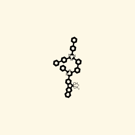 CC1(C)c2cc(-c3cc(-c4cccc(-c5cccc(-c6nc(-c7ccc(-c8ccccc8)cc7)nc(-c7ccc(-c8ccccc8)cc7)n6)c5)c4)nc(-c4ccccc4)n3)ccc2-c2cc3ccccc3cc21